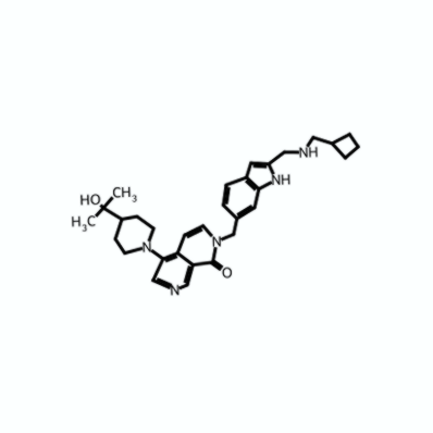 CC(C)(O)C1CCN(c2cncc3c(=O)n(Cc4ccc5cc(CNCC6CCC6)[nH]c5c4)ccc23)CC1